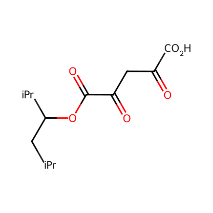 CC(C)CC(OC(=O)C(=O)CC(=O)C(=O)O)C(C)C